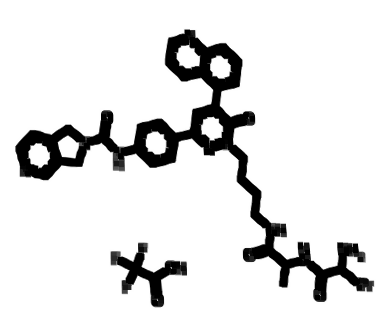 CC(NC(=O)C(N)C(C)C)C(=O)NCCCCn1nc(-c2ccc(NC(=O)N3Cc4ccncc4C3)cc2)cc(-c2cccc3ncccc23)c1=O.O=C(O)C(F)(F)F